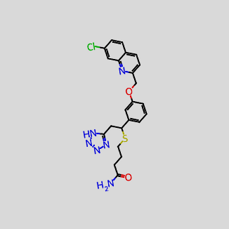 NC(=O)CCCSC(Cc1nnn[nH]1)c1cccc(OCc2ccc3ccc(Cl)cc3n2)c1